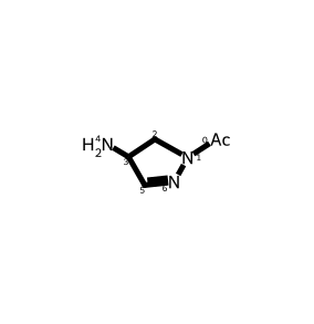 CC(=O)N1CC(N)C=N1